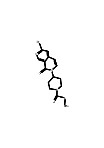 CC(C)(C)OC(=O)N1CCC(n2ccc3cc(Br)ncc3c2=O)CC1